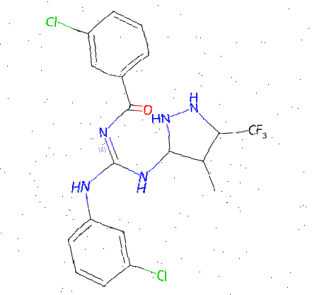 CC1C(N/C(=N\C(=O)c2cccc(Cl)c2)Nc2cccc(Cl)c2)NNC1C(F)(F)F